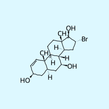 C[C@]12C=C[C@H](O)C[C@@H]1C[C@H](O)[C@@H]1[C@@H]2CC[C@]2(C)[C@@H](O)[C@H](Br)C[C@@H]12